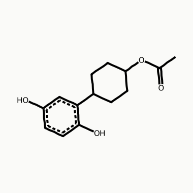 CC(=O)OC1CCC(c2cc(O)ccc2O)CC1